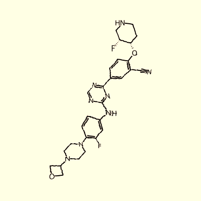 N#Cc1cc(-c2ncnc(Nc3ccc(N4CCN(C5COC5)CC4)c(F)c3)n2)ccc1O[C@H]1CCNC[C@H]1F